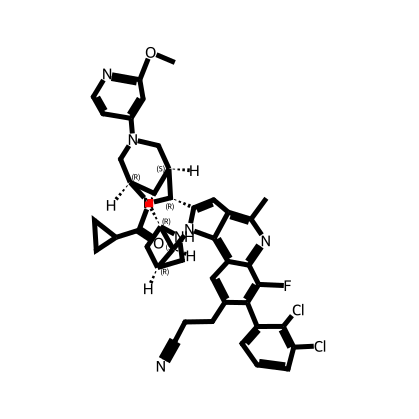 COc1cc(N2C[C@@H]3C[C@H](C2)N(C(=O)C2CC2)[C@H]3c2cc3c(C)nc4c(F)c(-c5cccc(Cl)c5Cl)c(CCC#N)cc4c3n2[C@H]2[C@H]3CN[C@@H]2C3)ccn1